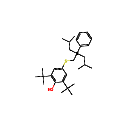 CC(C)C[Si](CSc1cc(C(C)(C)C)c(O)c(C(C)(C)C)c1)(CC(C)C)c1ccccc1